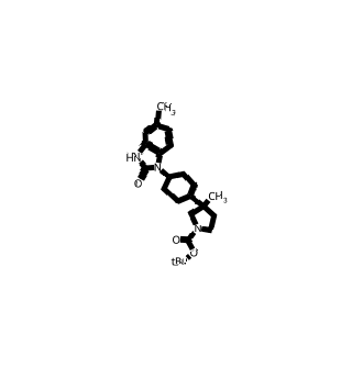 Cc1ccc2c(c1)[nH]c(=O)n2C1CCC(C2(C)CCN(C(=O)OC(C)(C)C)C2)CC1